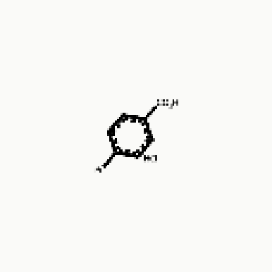 CC(C)c1ccc(C(=O)O)cc1.Cl